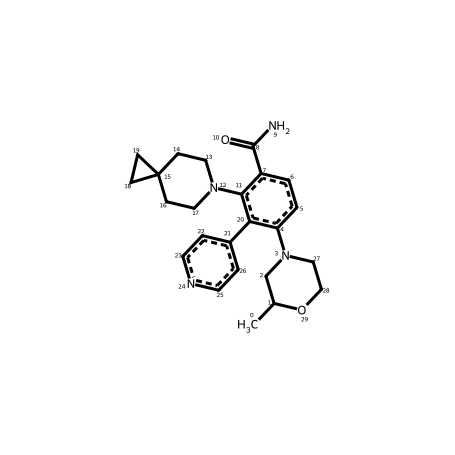 CC1CN(c2ccc(C(N)=O)c(N3CCC4(CC3)CC4)c2-c2ccncc2)CCO1